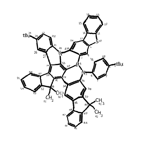 CC(C)(C)c1ccc(N2B3c4cc5sc6ccccc6c5cc4-n4c5ccc(C(C)(C)C)cc5c5c6c(c(c3c54)-c3cc4c(cc32)C(C)(C)c2ccccc2-4)C(C)(C)c2ccccc2-6)cc1